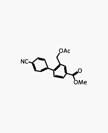 COC(=O)c1ccc(-c2ccc(C#N)cc2)c(COC(C)=O)c1